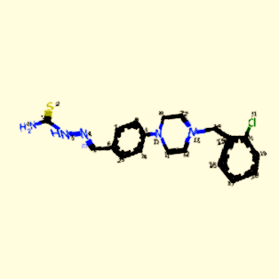 NC(=S)N/N=C/c1ccc(N2CCN(Cc3ccccc3Cl)CC2)cc1